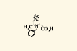 CC(=O)N1C[C@H](CC(=O)O)N(Cc2ccccc2)[C@H](C)C1